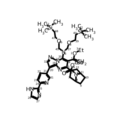 C=C(OCC)c1c(C2CC3CCC(C2)N3C(=O)OC(C)(C)C)nc2c(-c3ccc(-c4ncc[nH]4)nc3)cnn2c1N(COCC[Si](C)(C)C)COCC[Si](C)(C)C